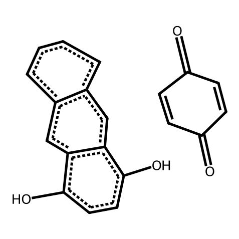 O=C1C=CC(=O)C=C1.Oc1ccc(O)c2cc3ccccc3cc12